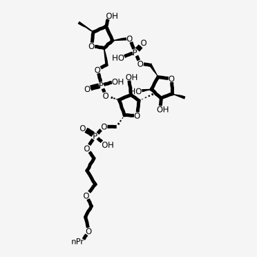 CCCOCCOCCCOP(=O)(O)OC[C@H]1O[C@@H](C)C(O)[C@H]1OP(=O)(O)OC[C@H]1O[C@@H](C)C(O)[C@H]1OP(=O)(O)OC[C@H]1O[C@@H](C)C(O)[C@H]1O